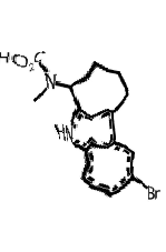 CN(C(=O)O)C1CCCc2c1[nH]c1ccc(Br)cc21